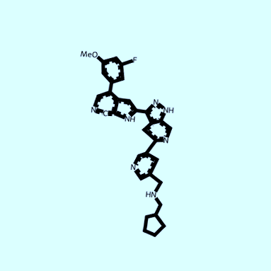 COc1cc(F)cc(-c2cncc3[nH]c(-c4n[nH]c5cnc(-c6cncc(CNCC7CCCC7)c6)cc45)cc23)c1